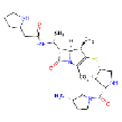 C[C@@H](NC(=O)CC1CCCN1)[C@H]1C(=O)N2C(C(=O)O)=C(S[C@@H]3CN[C@H](C(=O)N4CC[C@H](N)C4)C3)[C@H](C)[C@H]12